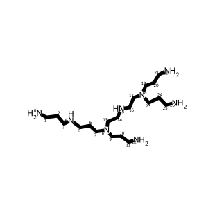 NCCCNCCCN(CCCN)CCNCCN(CCCN)CCCN